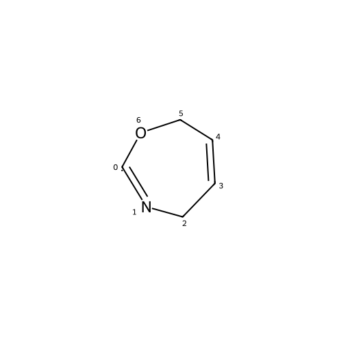 [C]1=NCC=CCO1